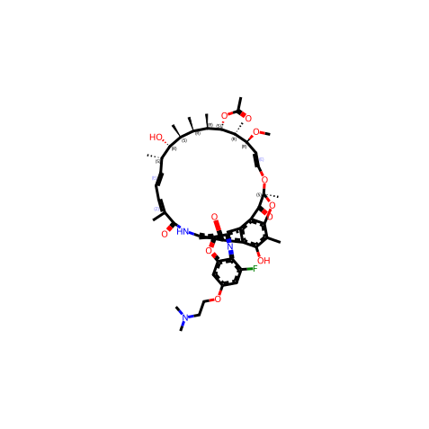 CO[C@H]1/C=C/O[C@@]2(C)Oc3c(C)c(O)c4c(=O)c(c5oc6cc(OCCN(C)C)cc(F)c6nc-5c4c3C2=O)NC(=O)/C(C)=C\C=C\[C@H](C)[C@H](O)[C@@H](C)[C@@H](C)[C@@H](C)[C@H](OC(C)=O)[C@@H]1C